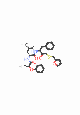 CC(C)C[C@H](NC(=O)[C@H](C)Oc1ccccc1)C(=O)NC(Cc1ccccc1)C(=O)CSCc1ccco1